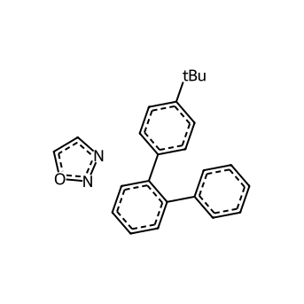 CC(C)(C)c1ccc(-c2ccccc2-c2ccccc2)cc1.c1conn1